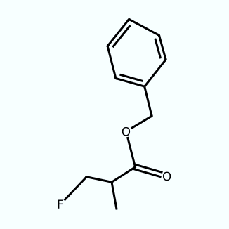 CC(CF)C(=O)OCc1ccccc1